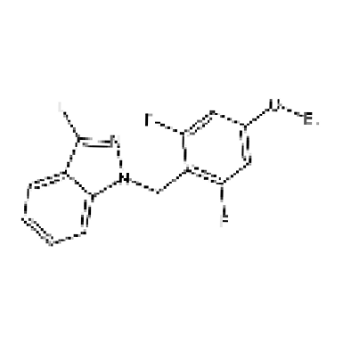 CCOc1cc(F)c(Cn2nc(I)c3ccccc32)c(F)c1